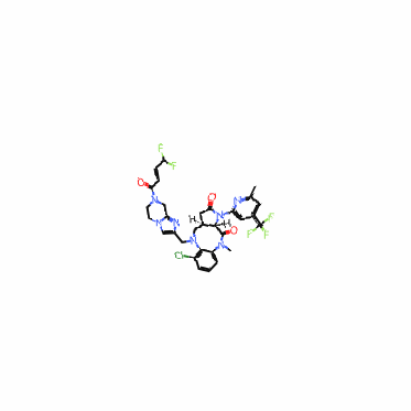 Cc1cc(C(F)(F)F)cc(N2C(=O)C[C@@H]3CN(Cc4cn5c(n4)CN(C(=O)/C=C/C(F)F)CC5)c4c(Cl)cccc4N(C)C(=O)[C@H]32)n1